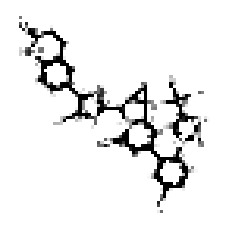 O=C1CCc2cc(-c3[nH]c(C4C5CC5c5cc(-c6cc(Cl)ccc6-n6cc(C(F)(F)F)nn6)cc(=O)n54)nc3F)ccc2N1